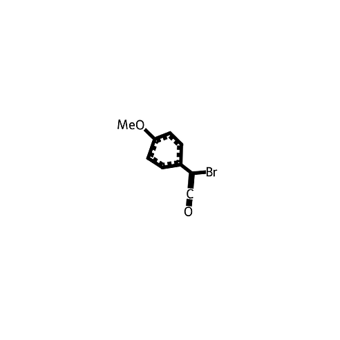 COc1ccc(C(Br)=C=O)cc1